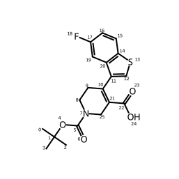 CC(C)(C)OC(=O)N1CCC(c2csc3ccc(F)cc23)=C(C(=O)O)C1